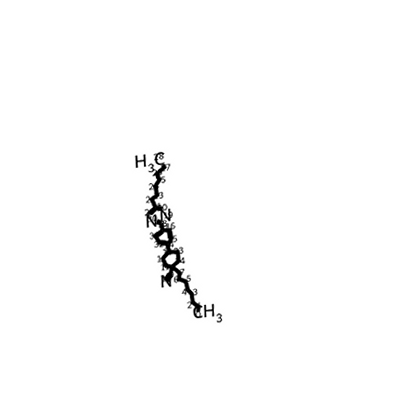 CCCCCCCCC1(C#N)CCC(c2ccc(-c3ncc(CCCCCCC)cn3)cc2)CC1